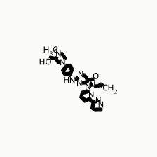 C=CCn1c(=O)c2cnc(Nc3ccc(N4CCN(C)C(CO)C4)cc3)nc2n1-c1cccc(-c2cccnn2)n1